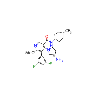 COc1ncc(C(=O)NC2CCC(C(F)(F)F)CC2)c(N2CC[C@H](N)C2)c1-c1cc(F)cc(F)c1